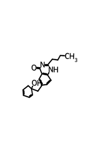 CCCCc1nc(=O)c2cc(CC3(O)C=CC=CC3)ccc2[nH]1